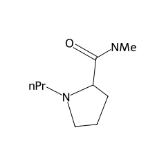 CCCN1CCCC1C(=O)NC